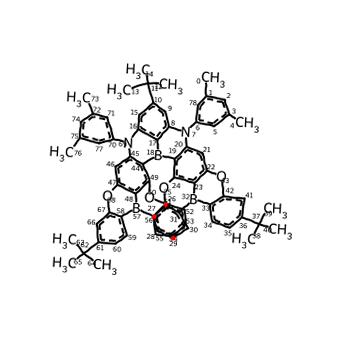 Cc1cc(C)cc(N2c3cc(C(C)(C)C)cc4c3B(c3c2cc2c5c3Oc3ccccc3B5c3ccc(C(C)(C)C)cc3O2)c2c(cc3c5c2Oc2ccccc2B5c2ccc(C(C)(C)C)cc2O3)N4c2cc(C)cc(C)c2)c1